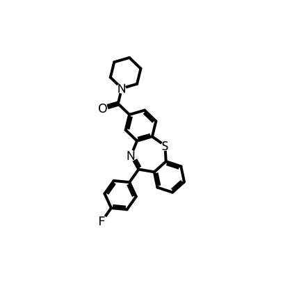 O=C(c1ccc2c(c1)N=C(c1ccc(F)cc1)c1ccccc1S2)N1CCCCC1